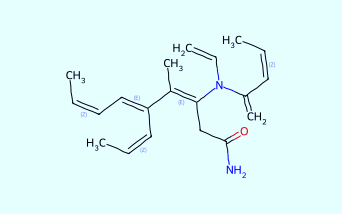 C=CN(C(=C)/C=C\C)/C(CC(N)=O)=C(C)/C(/C=C\C)=C/C=C\C